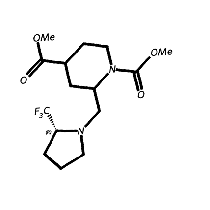 COC(=O)C1CCN(C(=O)OC)C(CN2CCC[C@@H]2C(F)(F)F)C1